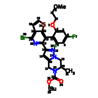 COCCOc1cc(F)cc(F)c1-c1c(-c2cc3n(n2)C[C@@H](C)N(C(=O)OC(C)(C)C)C3)nc(Br)c2ccsc12